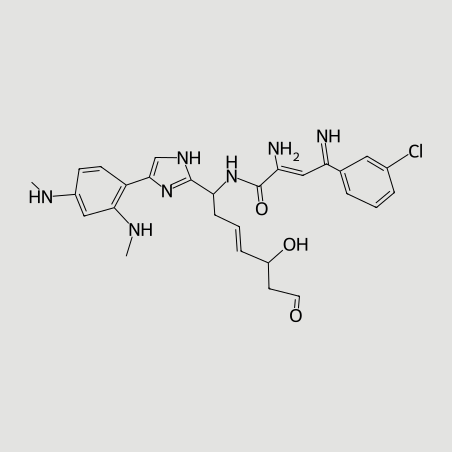 CNc1ccc(-c2c[nH]c(C(C/C=C/C(O)CC=O)NC(=O)/C(N)=C/C(=N)c3cccc(Cl)c3)n2)c(NC)c1